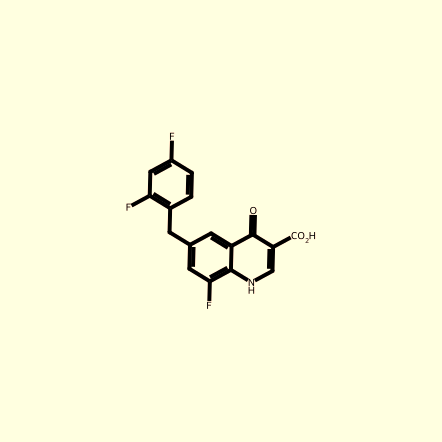 O=C(O)c1c[nH]c2c(F)cc(Cc3ccc(F)cc3F)cc2c1=O